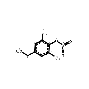 CC(=O)OCc1cc(C(F)(F)F)c(O[SH](=O)=O)c(C(F)(F)F)c1